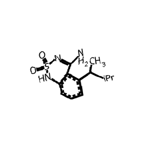 CC(C)C(C)c1cccc2c1C(N)=NS(=O)(=O)N2